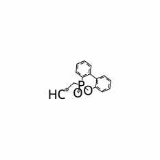 C#CCP1(=O)Oc2ccccc2-c2ccccc21